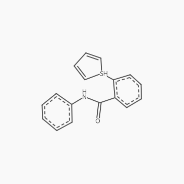 O=C(Nc1ccccc1)c1ccccc1[SH]1C=CC=C1